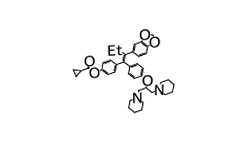 CCC(=C(c1ccc(OC(=O)C2CC2)cc1)c1ccc(OC(CN2CCCCC2)CN2CCCCC2)cc1)c1ccc2c(c1)OCO2